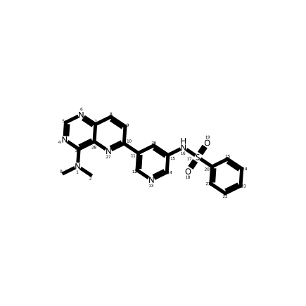 CN(C)c1ncnc2ccc(-c3cncc(NS(=O)(=O)c4ccccc4)c3)nc12